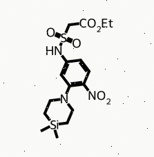 CCOC(=O)CS(=O)(=O)Nc1ccc([N+](=O)[O-])c(N2CC[Si](C)(C)CC2)c1